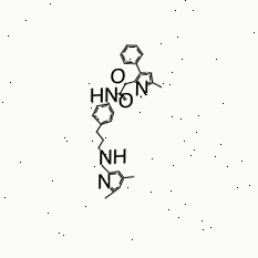 Cc1cc(C)nc(CNCCCc2ccc(NC(=O)C(=O)c3c(-c4ccccc4)cc(C)n3C)cc2)c1